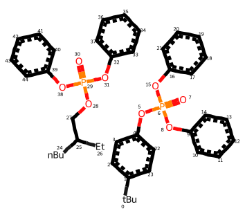 CC(C)(C)c1ccc(OP(=O)(Oc2ccccc2)Oc2ccccc2)cc1.CCCCC(CC)COP(=O)(Oc1ccccc1)Oc1ccccc1